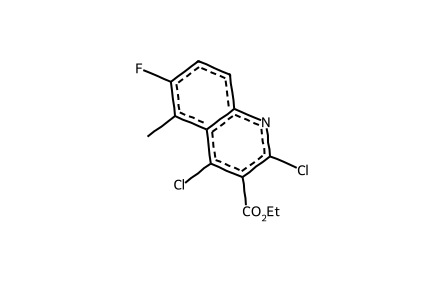 CCOC(=O)c1c(Cl)nc2ccc(F)c(C)c2c1Cl